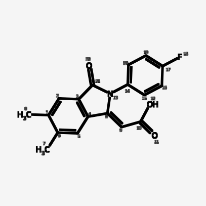 Cc1cc2c(cc1C)/C(=C/C(=O)O)N(c1ccc(F)cc1)C2=O